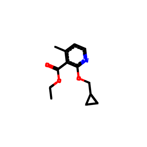 CCOC(=O)c1c(C)ccnc1OCC1CC1